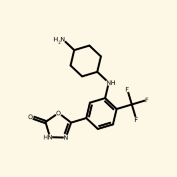 NC1CCC(Nc2cc(-c3n[nH]c(=O)o3)ccc2C(F)(F)F)CC1